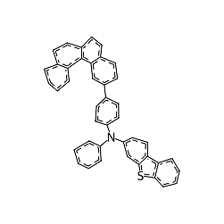 c1ccc(N(c2ccc(-c3ccc4ccc5ccc6ccccc6c5c4c3)cc2)c2ccc3c(c2)sc2ccccc23)cc1